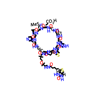 CC[C@@H]1NC(=O)[C@H](Cc2c[nH]cn2)NC(=O)[C@H](Cc2cscn2)NC(=O)[C@H]2CCCN2C(=O)[C@@H](NC(=O)C(C)(C)CCOC(C)(C)CCNC(=O)CCCC[C@@H]2SC[C@@H]3NC(=O)N[C@@H]32)CCCNC(=O)[C@H](Cc2cccnc2)NC(=O)[C@H](CC2CC2)NC(=O)[C@H](CCSC)NC(=O)[C@H](CCC(=O)O)NC(=O)CNC1=O